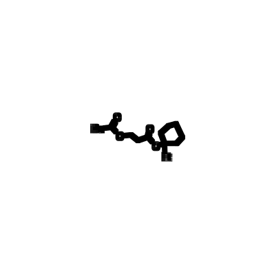 CCC(C)C(=O)OCCC(=O)OC1(CC)CCCCC1